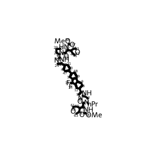 CCCN(Cc1ncc(-c2ccc3c(c2)C(F)(F)c2cc(-c4ccc(-c5cnc([C@@H]6CCCN6C(=O)[C@@H](NC(=O)OC)C6CCOCC6)[nH]5)cc4)ccc2-3)[nH]1)C(=O)C(NC(=O)OC)C1CCOCC1